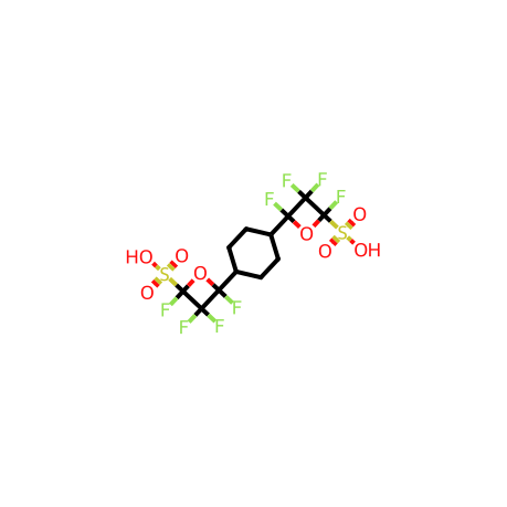 O=S(=O)(O)C1(F)OC(F)(C2CCC(C3(F)OC(F)(S(=O)(=O)O)C3(F)F)CC2)C1(F)F